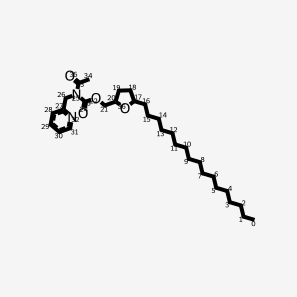 CCCCCCCCCCCCCCCCCC1CCC(COC(=O)N(Cc2ccccn2)C(C)=O)O1